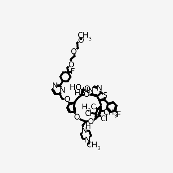 COCCOCCOCC1(F)CCC(c2nccc(COc3ccc4cc3C[C@H](C(=O)O)OC3=C5C(=C(c6ccc(F)cc6)SC5N=CN3)c3c(C)c(Cl)c(c(Cl)c3C)O[C@H](CN3CCN(C)CC3)CO4)n2)CC1